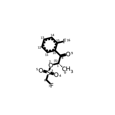 C[C@H](OS(=O)(=O)CF)C(=O)c1ccccc1F